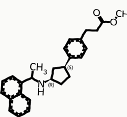 COC(=O)CCc1ccc([C@H]2CC[C@@H](NC(C)c3cccc4ccccc34)C2)cc1